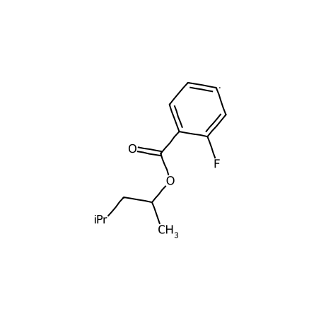 CC(C)CC(C)OC(=O)c1cc[c]cc1F